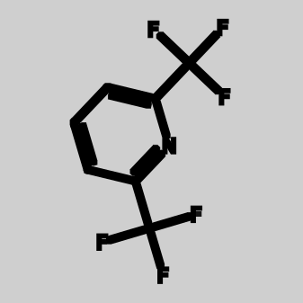 FC(F)(F)c1cccc(C(F)(F)F)n1